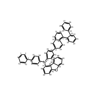 c1ccc(-c2ccc(N(c3ccc(-c4ccc5c(-c6ccccc6-c6ccccc6)cccc5c4)cc3)c3cccc4oc5ccccc5c34)cc2)cc1